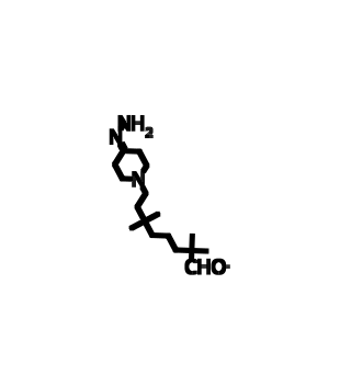 CC(C)([C]=O)CCCC(C)(C)CCN1CCC(=NN)CC1